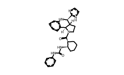 O=C(Nc1ccccc1)N[C@@H]1CCCC[C@@H]1C(=O)N1CC[C@H]2[C@H](c3ncc[nH]3)Nc3ccccc3[C@@H]21